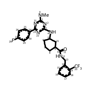 CNc1nc(NC2CCCC(C(=O)NCc3ccccc3C(F)(F)F)C2)nc(-c2ccc(F)cc2)n1